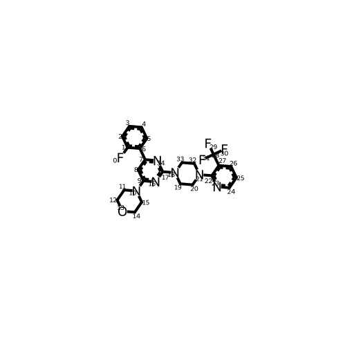 Fc1ccccc1-c1cc(N2CCOCC2)nc(N2CCN(c3ncccc3C(F)(F)F)CC2)n1